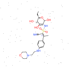 CC[C@H]1OC(O)[C@H](NS(=O)(=O)/C(C#N)=C(\C)c2ccc(NCCN3CCOCC3)cc2)[C@@H](O)[C@@H]1O